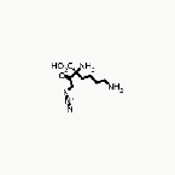 [N-]=[N+]=NCC(=O)[C@](N)(CCCCN)C(=O)O